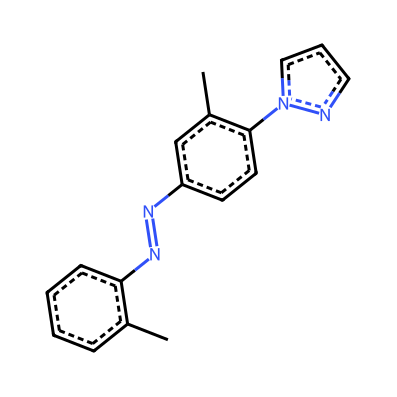 Cc1ccccc1N=Nc1ccc(-n2cccn2)c(C)c1